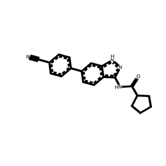 N#Cc1ccc(-c2ccc3c(NC(=O)C4CCCC4)n[nH]c3c2)cc1